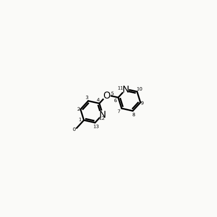 Cc1ccc(Oc2ccccn2)nc1